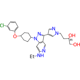 CCNc1cc2c(cn1)c(-c1cnn(CC[C@@H](O)CO)c1)nn2C1CCC(Oc2cccc(Cl)c2)CC1